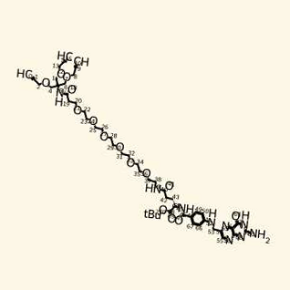 C#CCOCC(COCC#C)(COCC#C)NC(=O)CCOCCOCCOCCOCCOCCOCCNC(=O)CC[C@H](NC(=O)c1ccc(NCc2cnc3nc(N)[nH]c(=O)c3n2)cc1)C(=O)OC(C)(C)C